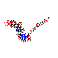 C#CCOCCOCCOCCOCCOCCC(=O)NC(C(=O)NC(C)C(=O)Nc1ccc2nc3c(c4c2c1CCC4)Cn1c-3cc2c(c1=O)COC(=O)[C@]2(O)CC)C(C)C